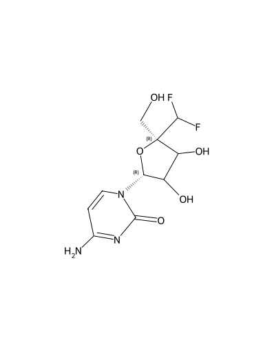 Nc1ccn([C@@H]2O[C@@](CO)(C(F)F)C(O)C2O)c(=O)n1